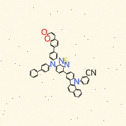 N#Cc1cccc(-n2c3ccc(-c4ccc(N(c5ccc(-c6ccccc6)cc5)c5ccc(-c6ccc7ccc(=O)oc7c6)cc5)c5nsnc45)cc3c3ccc4ccccc4c32)c1